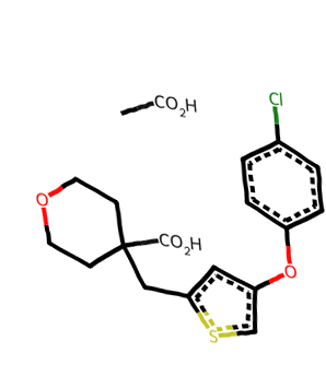 CC(=O)O.O=C(O)C1(Cc2cc(Oc3ccc(Cl)cc3)cs2)CCOCC1